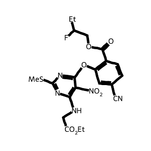 CCOC(=O)CNc1nc(SC)nc(Oc2cc(C#N)ccc2C(=O)OCC(F)CC)c1[N+](=O)[O-]